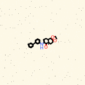 C[C@]12CCC3(CC1CC=C(Nc1cccc(-c4ccccc4)c1)C2=O)OCCO3